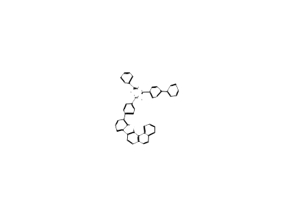 c1ccc(-c2ccc(-c3nc(-c4ccccc4)nc(-c4ccc(-c5cccc6c5sc5c6ccc6ccc7ccccc7c65)cc4)n3)cc2)cc1